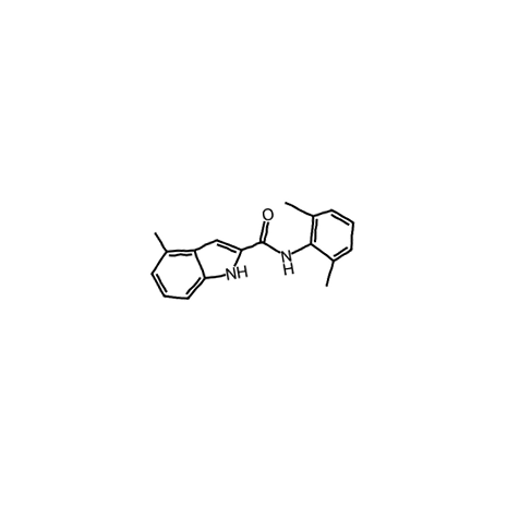 Cc1cccc(C)c1NC(=O)c1cc2c(C)cccc2[nH]1